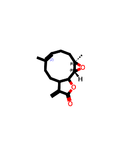 C=C1C(=O)OC2C1CC/C(C)=C\CC[C@@]1(C)O[C@H]21